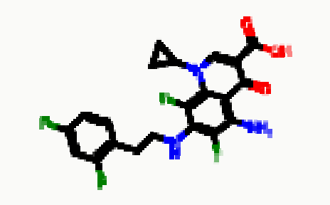 Nc1c(F)c(NCCc2ccc(F)cc2F)c(F)c2c1c(=O)c(C(=O)O)cn2C1CC1